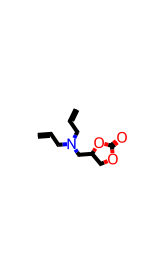 C=CCN(CC=C)CC1COC(=O)O1